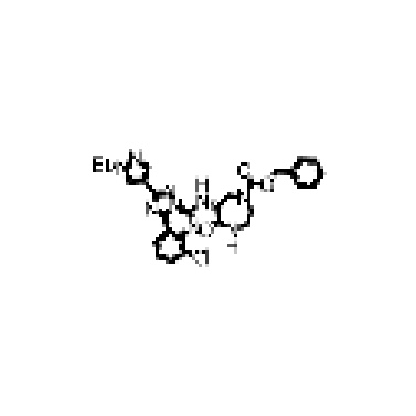 CCn1cc(-c2nc3c4cccc(Cl)c4nc(N[C@@H]4CN(C(=O)OCc5ccccc5)CCNC4=O)n3n2)cn1